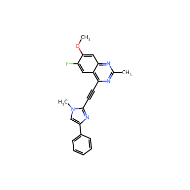 COc1cc2nc(C)nc(C#Cc3nc(-c4ccccc4)cn3C)c2cc1F